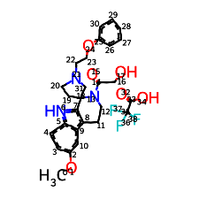 COc1ccc2[nH]c3c(c2c1)CCN(C(=O)CO)C31CCN(CCOc2ccccc2)C1.O=C(O)C(F)(F)F